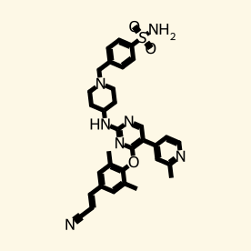 Cc1cc(-c2cnc(NC3CCN(Cc4ccc(S(N)(=O)=O)cc4)CC3)nc2Oc2c(C)cc(/C=C/C#N)cc2C)ccn1